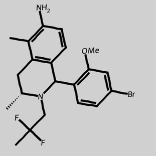 COc1cc(Br)ccc1C1c2ccc(N)c(C)c2C[C@@H](C)N1CC(C)(F)F